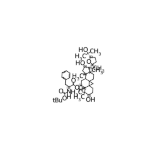 CC(C)(C)OC(=O)N[C@@H](Cc1ccccc1)C(=O)O[C@H]1CC2C3(CC[C@]4(C)[C@@H]([C@@]5(C)CC[C@@H](C(C)(C)O)O5)[C@@H](O)C[C@@]24C)CC32CC[C@H](O)C(C)(C)[C@H]12